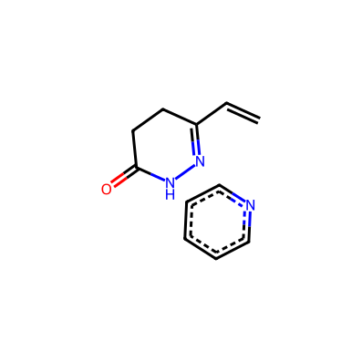 C=CC1=NNC(=O)CC1.c1ccncc1